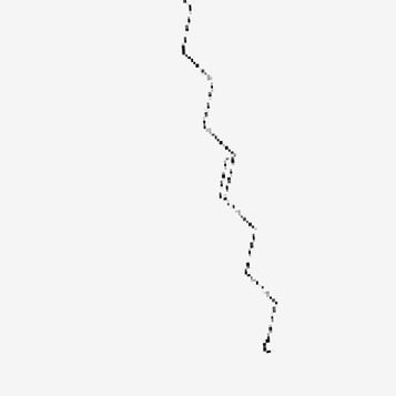 CCCCCC=CCCCCl